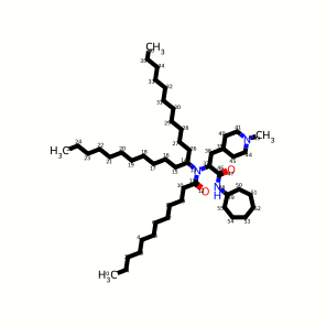 CCCCCCCCCCCC(=O)N(C(CCCCCCCCCCC)CCCCCCCCCCC)C(CC1CCN(C)CC1)C(=O)NC1CCCCCC1